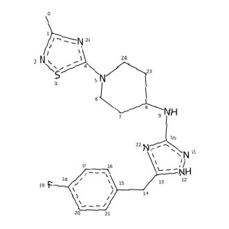 Cc1nsc(N2CCC(Nc3n[nH]c(Cc4ccc(F)cc4)n3)CC2)n1